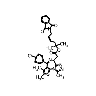 Cc1sc2c(c1C)C(c1ccc(Cl)cc1)=N[C@@H](CC(=O)OC(C)(C)C/C=C\CN1C(=O)c3ccccc3C1=O)c1nnc(C)n1-2